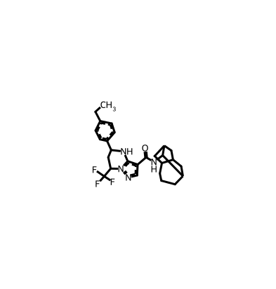 CCc1ccc(C2CC(C(F)(F)F)n3ncc(C(=O)NC4C5CCCC6CC4CC6C5)c3N2)cc1